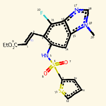 CCOC(=O)/C=C/c1c(NS(=O)(=O)c2cccs2)cc2c(ncn2C)c1F